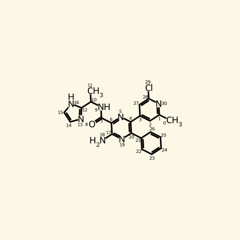 Cc1cc(-c2nc(C(=O)NC(C)c3ncc[nH]3)c(N)nc2-c2ccccc2)cc(Cl)n1